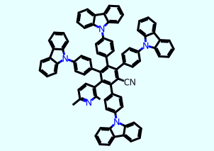 Cc1ccc(-c2c(-c3ccc(-n4c5ccccc5c5ccccc54)cc3)c(C#N)c(-c3ccc(-n4c5ccccc5c5ccccc54)cc3)c(-c3ccc(-n4c5ccccc5c5ccccc54)cc3)c2-c2ccc(-n3c4ccccc4c4ccccc43)cc2)c(C)n1